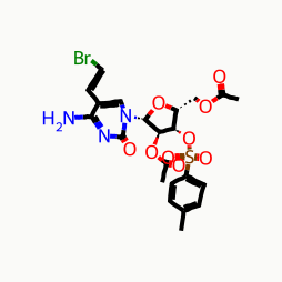 CC(=O)OC[C@H]1O[C@@H](n2cc(/C=C/Br)c(N)nc2=O)[C@H](OC(C)=O)[C@H]1OS(=O)(=O)c1ccc(C)cc1